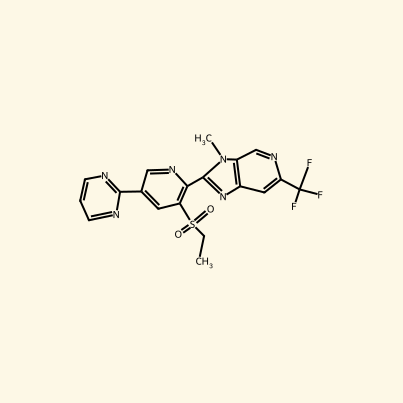 CCS(=O)(=O)c1cc(-c2ncccn2)cnc1-c1nc2cc(C(F)(F)F)ncc2n1C